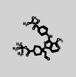 Cc1nccc2c1c(Nc1ccc(S(=O)(=O)N(C)C)cc1)nn2C1(CC=O)CCN(C(=O)OC(C)(C)C)CC1